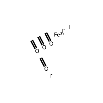 C=O.C=O.C=O.C=O.[Fe+3].[I-].[I-].[I-]